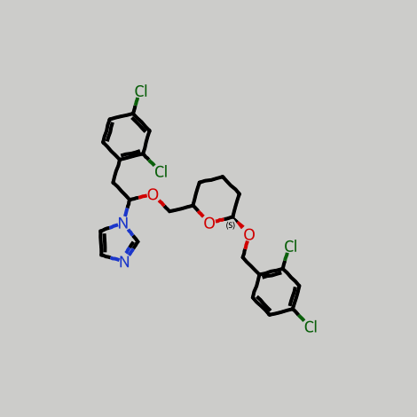 Clc1ccc(CO[C@@H]2CCCC(COC(Cc3ccc(Cl)cc3Cl)n3ccnc3)O2)c(Cl)c1